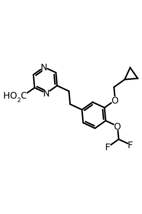 O=C(O)c1cncc(CCc2ccc(OC(F)F)c(OCC3CC3)c2)n1